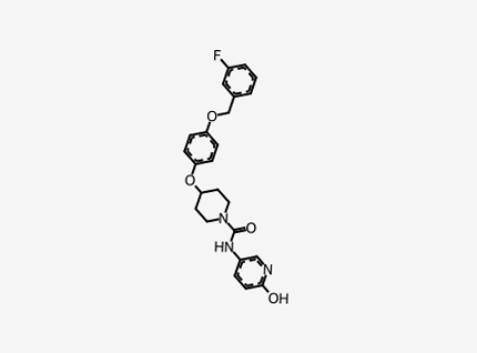 O=C(Nc1ccc(O)nc1)N1CCC(Oc2ccc(OCc3cccc(F)c3)cc2)CC1